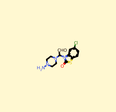 NN1CCN(C(C=O)n2c(=O)sc3ccc(Cl)cc32)CC1